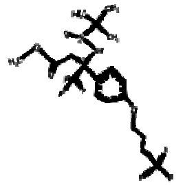 COC(=O)C[C@@](N[S@@+]([O-])C(C)(C)C)(c1ccc(OCCCC(F)(F)F)cc1)C(F)(F)F